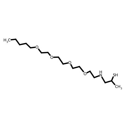 CCCCCOCCOCCOCCOCCNCC(C)S